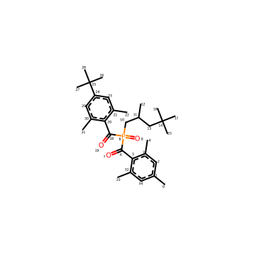 Cc1cc(C)c(C(=O)P(=O)(CC(C)CC(C)(C)C)C(=O)c2c(C)cc(C(C)(C)C)cc2C)c(C)c1